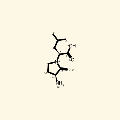 CC(C)C[C@@H](C(=O)O)N1CC[C@H](N)C1=O